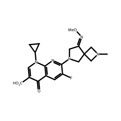 CO/N=C1\CN(c2nc3c(cc2F)c(=O)c(C(=O)O)cn3C2CC2)CC12CN(C)C2